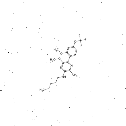 CCCCCNc1nc(OC)c(-c2ccc(OC(F)(F)F)cc2OC)nc1C